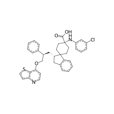 O=C(O)C1(Nc2cccc(Cl)c2)CCC2(CC1)c1ccccc1C[C@@H]2C[C@@H](COc1ccnc2ccsc12)c1ccccc1